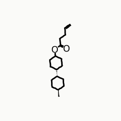 C=CCCC(=O)OC1CCC([C@H]2CC[C@H](C)CC2)CC1